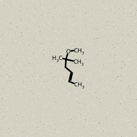 C/C=C/CC(C)(C)OC